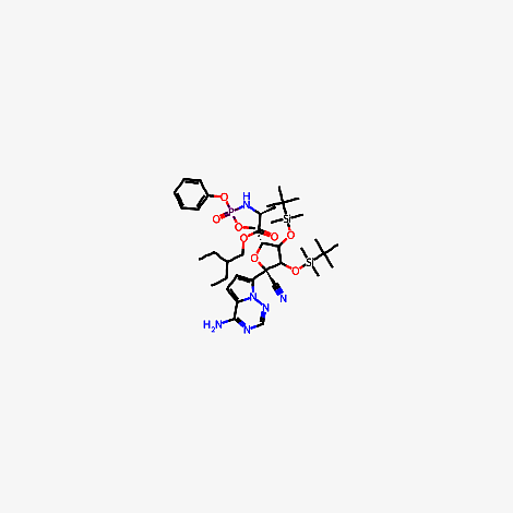 CCC(CC)COC(=O)[C@H](C)NP(=O)(OC[C@H]1O[C@@](C#N)(c2ccc3c(N)ncnn23)C(O[Si](C)(C)C(C)(C)C)C1O[Si](C)(C)C(C)(C)C)Oc1ccccc1